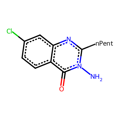 CCCCCc1nc2cc(Cl)ccc2c(=O)n1N